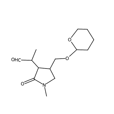 CC(C=O)C1C(=O)N(C)CC1COC1CCCCO1